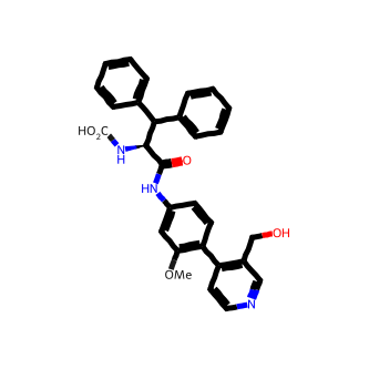 COc1cc(NC(=O)[C@@H](NC(=O)O)C(c2ccccc2)c2ccccc2)ccc1-c1ccncc1CO